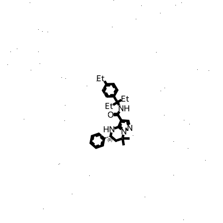 CCc1ccc(C(CC)(CC)NC(=O)c2cnn3c2N[C@@H](c2ccccc2)CC3(C)C)cc1